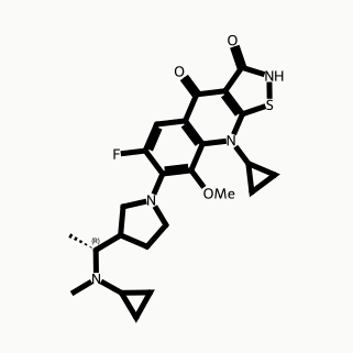 COc1c(N2CCC([C@@H](C)N(C)C3CC3)C2)c(F)cc2c(=O)c3c(=O)[nH]sc3n(C3CC3)c12